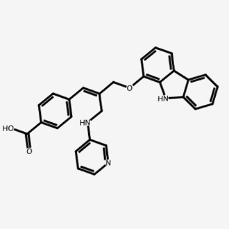 O=C(O)c1ccc(C=C(CNc2cccnc2)COc2cccc3c2[nH]c2ccccc23)cc1